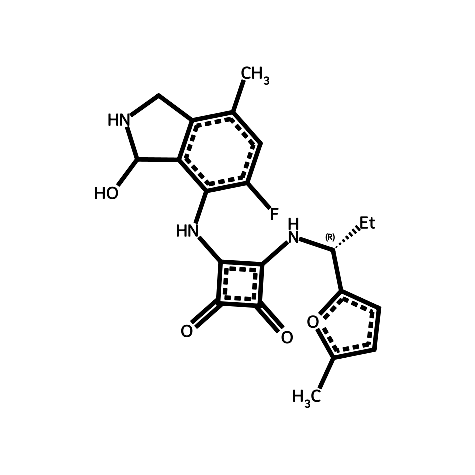 CC[C@@H](Nc1c(Nc2c(F)cc(C)c3c2C(O)NC3)c(=O)c1=O)c1ccc(C)o1